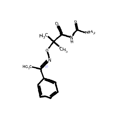 CC(C)(O/N=C(\C(=O)O)c1ccccc1)C(=O)NC(N)=O